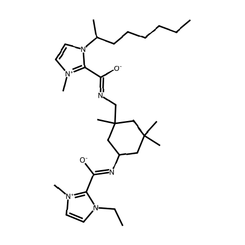 CCCCCCC(C)n1cc[n+](C)c1/C([O-])=N/CC1(C)CC(/N=C(\[O-])c2n(CC)cc[n+]2C)CC(C)(C)C1